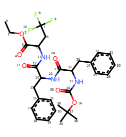 CCOC(=O)C(CC(F)(F)F)NC(=O)C(Cc1ccccc1)NC(=O)C(Cc1ccccc1)NC(=O)OC(C)(C)C